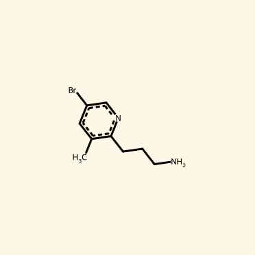 Cc1cc(Br)cnc1CCCN